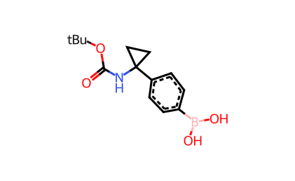 CC(C)(C)OC(=O)NC1(c2ccc(B(O)O)cc2)CC1